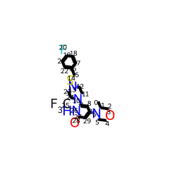 CC1COCCN1c1cc(N2CCN(SCc3ccc(F)cc3)CC2C(F)(F)F)[nH]c(=O)c1